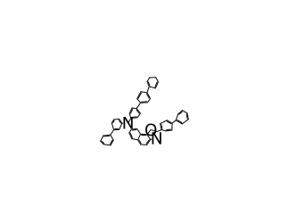 C1=CC(c2ccc(-c3ccc(N(c4cccc(-c5ccccc5)c4)c4ccc5ccc6nc(-c7ccc(-c8ccccc8)cc7)oc6c5c4)cc3)cc2)=CCC1